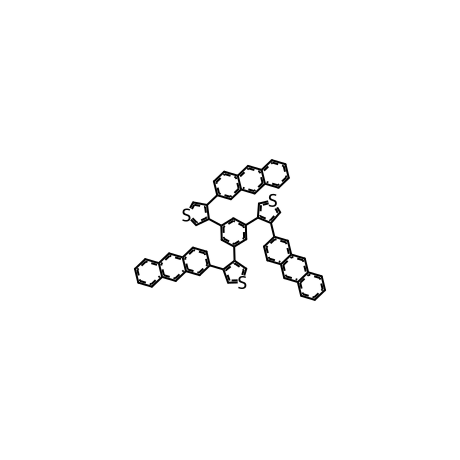 c1ccc2cc3cc(-c4cscc4-c4cc(-c5cscc5-c5ccc6cc7ccccc7cc6c5)cc(-c5cscc5-c5ccc6cc7ccccc7cc6c5)c4)ccc3cc2c1